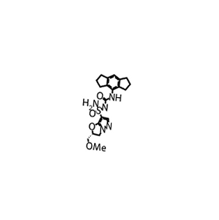 COC[C@H]1Cn2ncc([S@@](N)(=O)=NC(=O)Nc3c4c(cc5c3CCC5)CCC4)c2O1